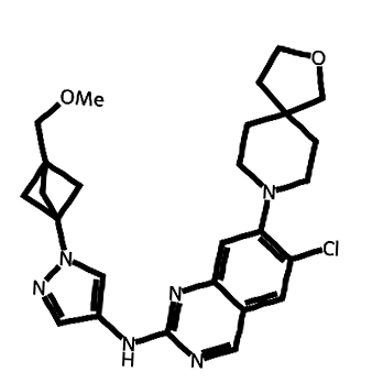 COCC12CC(n3cc(Nc4ncc5cc(Cl)c(N6CCC7(CCOC7)CC6)cc5n4)cn3)(C1)C2